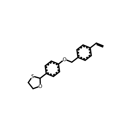 C=Cc1ccc(COc2ccc(C3OCCS3)cc2)cc1